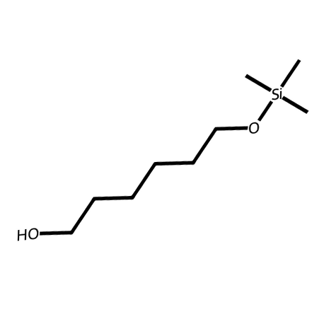 C[Si](C)(C)OCCCCCCO